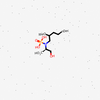 CCCCCCCCCCCCC(CN([C@@H](CO)C(=O)O)P(=O)(O)O)OC